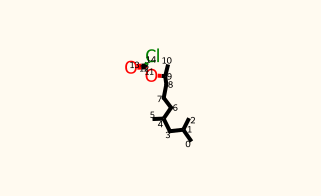 CC(C)CC(C)CCCC(C)OC(=O)Cl